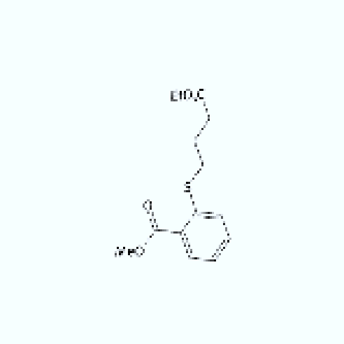 CCOC(=O)CCCSc1ccccc1C(=O)OC